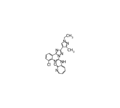 CCn1cc(-c2nc3c4cccc(Cl)c4nc(Nc4ccccnc4=O)n3n2)c(C)n1